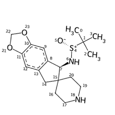 CC(C)(C)[S@@+]([O-])N[C@@H]1c2cc3c(cc2CC12CCNCC2)OCO3